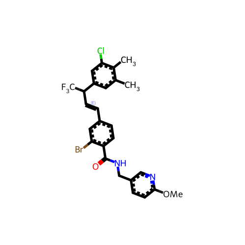 COc1ccc(CNC(=O)c2ccc(/C=C/C(c3cc(C)c(C)c(Cl)c3)C(F)(F)F)cc2Br)cn1